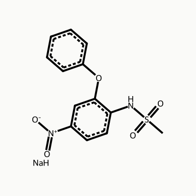 CS(=O)(=O)Nc1ccc([N+](=O)[O-])cc1Oc1ccccc1.[NaH]